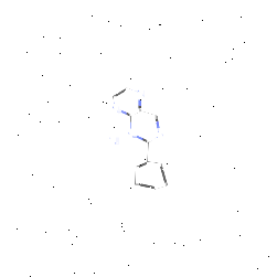 N.c1ccc(-c2ncc3nccnc3n2)cc1